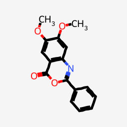 COc1cc2nc(-c3ccccc3)oc(=O)c2cc1OC